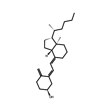 C=C1CC[C@H](O)C/C1=C/C=C1\CCC[C@]2(C)[C@@H]([C@H](C)CCCC)CC[C@@H]12